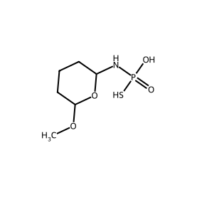 COC1CCCC(NP(=O)(O)S)O1